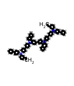 C=Cc1cccc(N(c2ccc(-c3ccccc3)cc2)c2ccc(-c3ccc(-n4c5ccc(-c6ccc7c(c6)c6c8ccccc8ccc6n7-c6ccc(-c7ccc(N(c8ccc(-c9ccccc9)cc8)c8cccc(C=C)c8)cc7)cc6)cc5c5c6ccccc6ccc54)cc3)cc2)c1